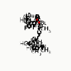 Cc1ncsc1-c1ccc([C@H](C)NC(=O)[C@@H]2C[C@@H](O)CN2C(=O)[C@@H](NC(=O)CCCC2CCN(C[C@H](C)Oc3nc(N4CC5CCC(C4)N5C(=O)OC(C)(C)C)c4cc(Cl)c(-c5ccc(F)c6sc(NC(=O)OC(C)(C)C)nc56)c(F)c4n3)CC2)C(C)(C)C)cc1